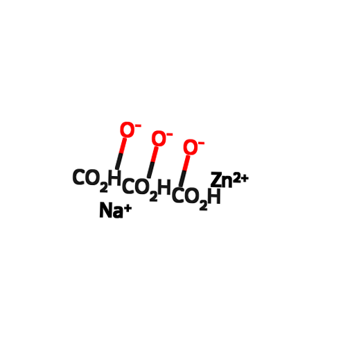 O=C([O-])O.O=C([O-])O.O=C([O-])O.[Na+].[Zn+2]